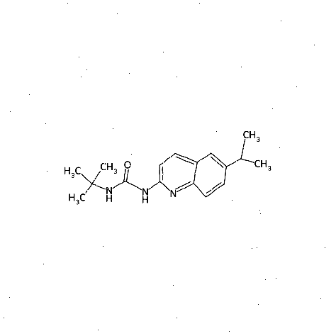 CC(C)c1ccc2nc(NC(=O)NC(C)(C)C)ccc2c1